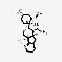 C[C@H]1CC[C@](C)([C@H]2CC[C@]3(C)c4ncccc4C[C@H]3[C@@H]2CN)[C@@H](CO)C1